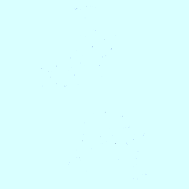 CC(C)(C)CC(C)(C)c1cc(CCc2cc(C(C)(C)CC(C)(C)C)c(OCCCC3CO3)c(C(C)(C)CC(C)(C)C)c2)cc(C(C)(C)CC(C)(C)C)c1OCCCC1CO1